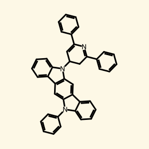 C1=C(c2ccccc2)N=C(c2ccccc2)CC1n1c2ccccc2c2cc3c(cc21)c1ccccc1n3-c1ccccc1